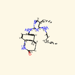 COCCNc1nc(Nc2ccc3c(c2)CCC(=O)N3)ncc1C